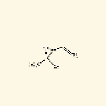 C=CC1CC1(C(C)=O)C(=O)OCC